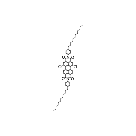 CCCCCCCCCCCCc1ccc(N2C(=O)c3ccc4c5c(Cl)cc6c7c(cc(Cl)c(c8ccc(c3c48)C2=O)c75)C(=O)N(c2ccc(CCCCCCCCCCCC)cc2)C6=O)cc1